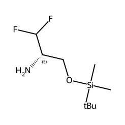 CC(C)(C)[Si](C)(C)OC[C@H](N)C(F)F